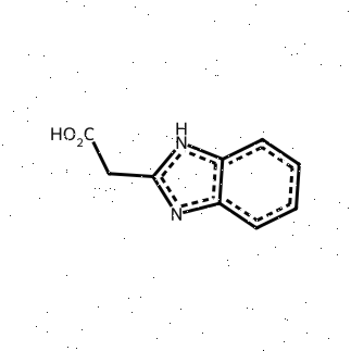 O=C(O)Cc1nc2ccccc2[nH]1